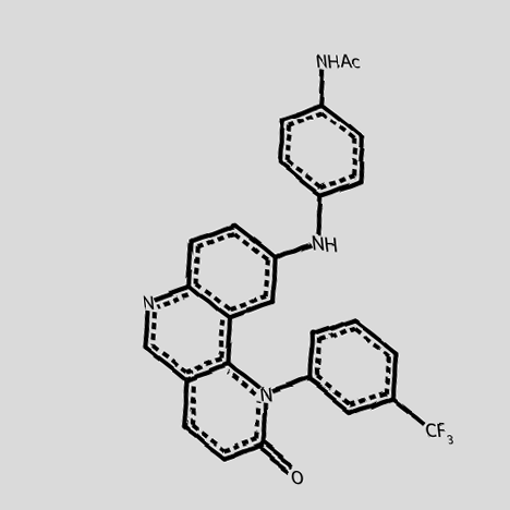 CC(=O)Nc1ccc(Nc2ccc3ncc4ccc(=O)n(-c5cccc(C(F)(F)F)c5)c4c3c2)cc1